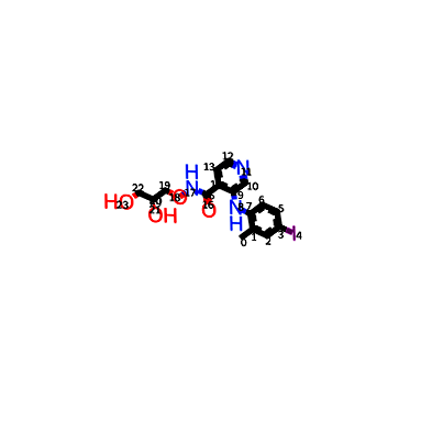 Cc1cc(I)ccc1Nc1cnccc1C(=O)NOC[C@H](O)CO